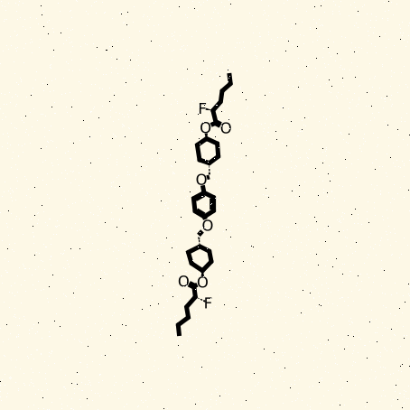 CCCC[C@@H](F)C(=O)O[C@H]1CC[C@H](COc2ccc(OC[C@H]3CC[C@H](OC(=O)[C@H](F)CCCC)CC3)cc2)CC1